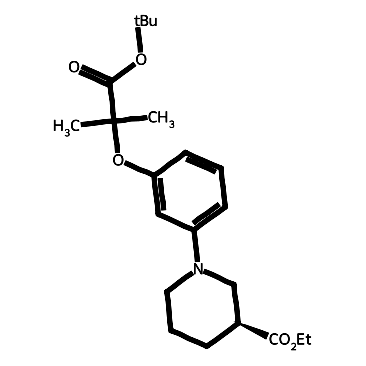 CCOC(=O)[C@H]1CCCN(c2cccc(OC(C)(C)C(=O)OC(C)(C)C)c2)C1